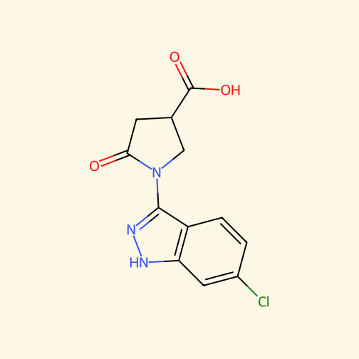 O=C(O)C1CC(=O)N(c2n[nH]c3cc(Cl)ccc23)C1